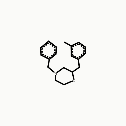 Cc1cccc(CC2CN(Cc3ccccc3)CCO2)c1